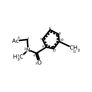 CC(=O)CN(C)C(=O)c1cccc(C)c1